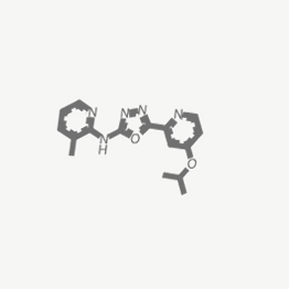 Cc1cccnc1Nc1nnc(-c2cc(OC(C)C)ccn2)o1